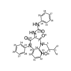 CC(C)C(O)CN1C(=O)C(NC(=O)Nc2ccccc2)C(=O)N(c2ccccc2)c2ccccc21